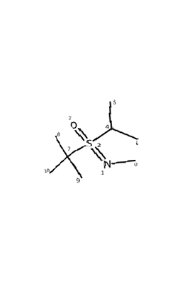 CN=S(=O)(C(C)C)C(C)(C)C